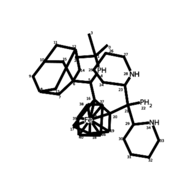 CC(C)(C)PC(C12CC3CC(CC(C3)C1)C2)[C]12[CH]3[CH]4[CH]5[C]1(C(P)(C1CCCCN1)C1CCCCN1)[Fe]43521678[CH]2[CH]1[CH]6[CH]7[CH]28